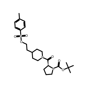 Cc1ccc(S(=O)(=O)OCCC2CCN(C(=O)[C@@H]3CCCN3C(=O)OC(C)(C)C)CC2)cc1